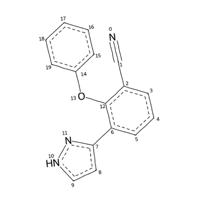 N#Cc1cccc(-c2cc[nH]n2)c1Oc1ccccc1